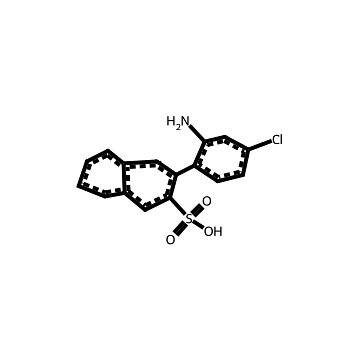 Nc1cc(Cl)ccc1-c1[c]c2ccccc2cc1S(=O)(=O)O